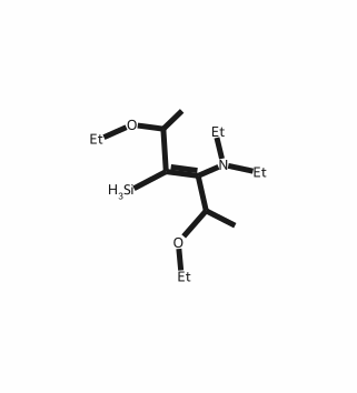 CCOC(C)C([SiH3])=C(C(C)OCC)N(CC)CC